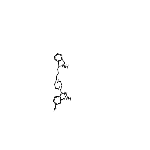 Fc1ccc2c(N3CCN(CCCC4NCc5ccccc54)CC3)n[nH]c2c1